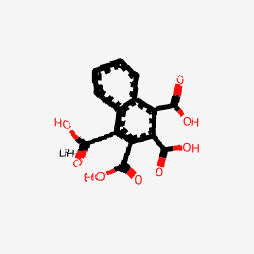 O=C(O)c1c(C(=O)O)c(C(=O)O)c2ccccc2c1C(=O)O.[LiH]